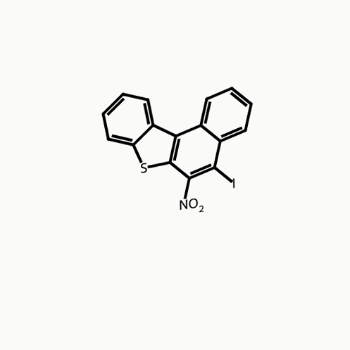 O=[N+]([O-])c1c(I)c2ccccc2c2c1sc1ccccc12